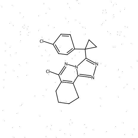 Clc1ccc(C2(c3nnc4c5c(c(Cl)nn34)CCCC5)CC2)cc1